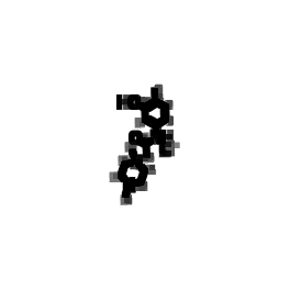 Cc1ccc(NC(=O)C[N+]2(C)CCN(C)CC2)cc1O.[Cl-]